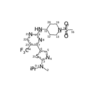 CC(C)N(C)c1ncc(-c2nc(NC3CCN(S(C)(=O)=O)CC3)ncc2C(F)(F)F)s1